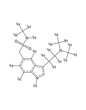 [2H]c1c(CS(=O)(=O)N([2H])C([2H])([2H])[2H])c([2H])c2c(C([2H])([2H])C([2H])([2H])N(C([2H])([2H])[2H])C([2H])([2H])[2H])cn([2H])c2c1[2H]